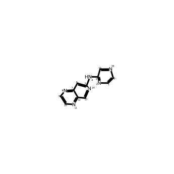 c1cnc(Nc2cc3nccnc3cn2)cn1